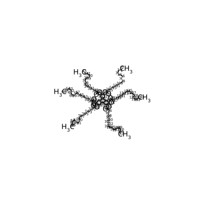 CC/C=C\C/C=C\C/C=C\CCCCCCCC(=O)Oc1cc2c(cc1OC(=O)CCCCC/C=C\C/C=C\C/C=C\CC)c1cc(OC(=O)CCCCCCC/C=C\C/C=C\C/C=C\CC)c(OC(=O)CCCCCCC/C=C\C/C=C\C/C=C\CC)cc1c1cc(OC(=O)CCCCCCC/C=C\C/C=C\C/C=C\CC)c(OC(=O)CCCCCCC/C=C\C/C=C\C/C=C\CC)cc21